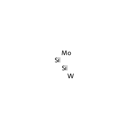 [Mo].[Si].[Si].[W]